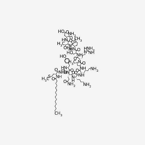 CCCCCCCCCCCCCCCC(=O)N[C@@H](CCSC)C(=O)NCC(=O)N[C@@H](Cc1ccc(O)cc1)C(=O)N[C@@H](CCC(N)=O)C(=O)N[C@@H](CCCCN)C(=O)N[C@@H](CCCCN)C(=O)N[C@H]1CC(C)N([C@@H](CCCNC(=N)N)C(=O)N[C@@H](CO)C(=O)N[C@H](CCSC)C(=O)N[C@H](C(=O)N[C@@H](CC(=O)O)C(N)=O)[C@@H](C)O)C1=O